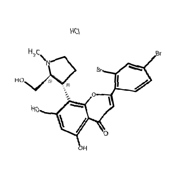 CN1CC[C@H](c2c(O)cc(O)c3c(=O)cc(-c4ccc(Br)cc4Br)oc23)[C@H]1CO.Cl